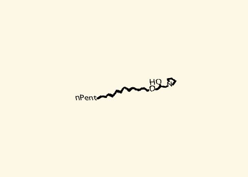 CCCCCC=CCC=CCCCCCCCCOCC(O)CN1CCCC1